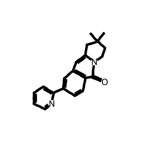 CC1(C)CCn2c(cc3cc(-c4ccccn4)ccc3c2=O)C1